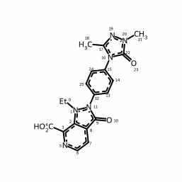 CCn1c2c(C(=O)O)nccc2c(=O)n1-c1ccc(-n2c(C)nn(C)c2=O)cc1